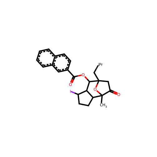 CC(C)CC12CC(=O)C(C)(O1)C1CCC(I)C1C2OC(=O)c1ccc2ccccc2c1